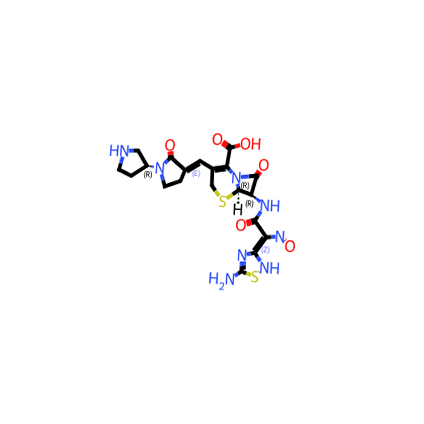 NC1=N/C(=C(/N=O)C(=O)N[C@@H]2C(=O)N3C(C(=O)O)=C(/C=C4\CCN([C@@H]5CCNC5)C4=O)CS[C@H]23)NS1